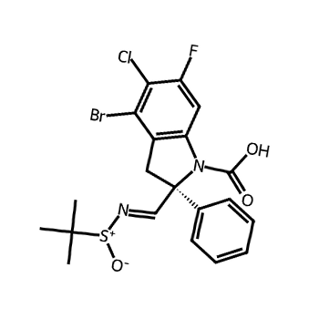 CC(C)(C)[S+]([O-])/N=C/[C@@]1(c2ccccc2)Cc2c(cc(F)c(Cl)c2Br)N1C(=O)O